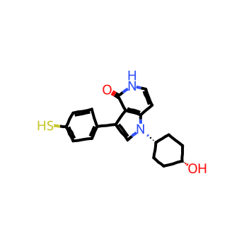 O=c1[nH]ccc2c1c(-c1ccc(S)cc1)cn2[C@H]1CC[C@@H](O)CC1